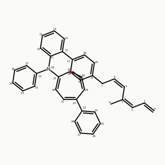 C=C/C=C(C)\C=C/Cc1ccc(-c2ccccc2N(C2=CC=C(c3ccccc3)C=CC2)c2ccccc2)cc1